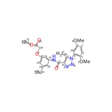 COc1ccc(OC)c(-n2nnc(C(=O)Nc3cc(OCC(=O)OC(C)(C)C)cc(C(C)(C)C)c3)c2C)c1